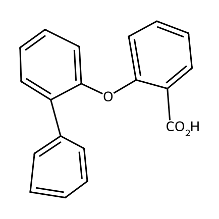 O=C(O)c1ccccc1Oc1ccccc1-c1ccccc1